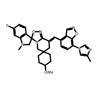 COC1CCC2(CC1)C/C(=C\c1ccc(-n3cnc(C)c3)c3oncc13)C1=NOC3(CN(C)c4cc(F)ccc43)N1C2